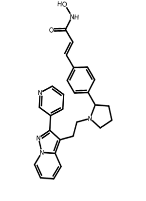 O=C(/C=C/c1ccc(C2CCCN2CCc2c(-c3cccnc3)nn3ccccc23)cc1)NO